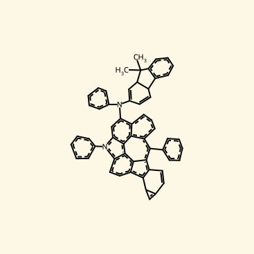 CC1(C)c2ccccc2C2C=CC(N(c3ccccc3)c3cc4c5c6c7c(ccc6n4-c4ccccc4)c4c(c-7c(-c6ccccc6)c6cccc3c65)C=CC3=CC34)=CC21